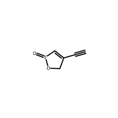 C#CC1=CS(=O)OC1